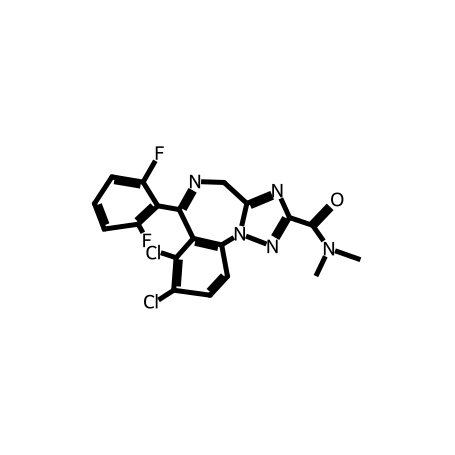 CN(C)C(=O)c1nc2n(n1)-c1ccc(Cl)c(Cl)c1C(c1c(F)cccc1F)=NC2